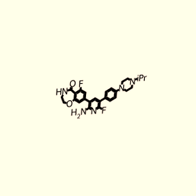 CC(C)N1CCN(c2ccc(-c3cc(-c4cc(F)c5c(c4)OCCNC5=O)c(N)nc3F)cc2)CC1